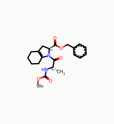 C[C@H](NC(=O)OC(C)(C)C)C(=O)N1C2=C(CCCC2)C[C@H]1C(=O)OCc1ccccc1